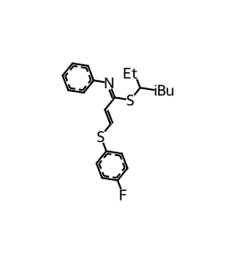 CCC(C)C(CC)SC(C=CSc1ccc(F)cc1)=Nc1ccccc1